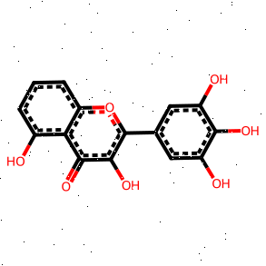 O=c1c(O)c(-c2cc(O)c(O)c(O)c2)oc2cccc(O)c12